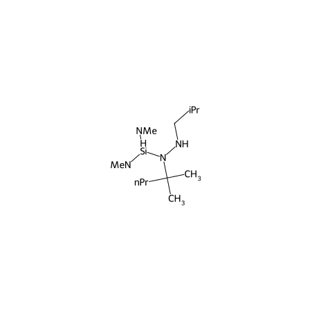 CCCC(C)(C)N(NCC(C)C)[SiH](NC)NC